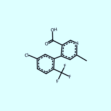 Cc1cc(-c2cc(Cl)ccc2C(F)(F)F)c(C(=O)O)cn1